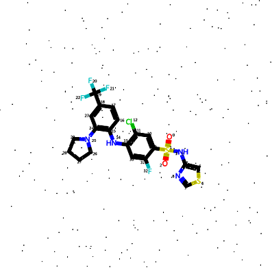 O=S(=O)(Nc1cscn1)c1cc(Cl)c(Nc2ccc(C(F)(F)F)cc2N2CCCC2)cc1F